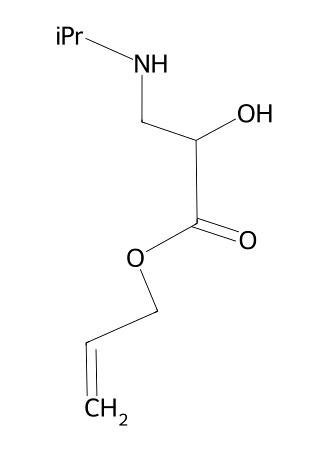 C=CCOC(=O)C(O)CNC(C)C